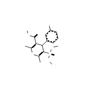 CC1=C(C(=O)OC(C)C)C(c2cccc([N+](=O)[O-])c2)C(P(=O)(OC(C)C)OC(C)C)=C(C)N1